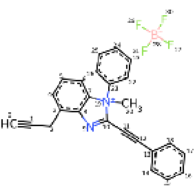 C#CCc1cccc2c1N=C(C#Cc1ccccc1)[N+]2(C)c1ccccc1.F[B-](F)(F)F